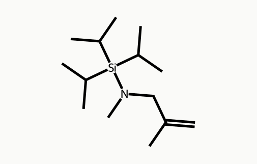 C=C(C)CN(C)[Si](C(C)C)(C(C)C)C(C)C